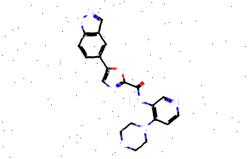 O=C(Nc1cnccc1N1CCNCC1)c1ncc(-c2ccc3[nH]ncc3c2)o1